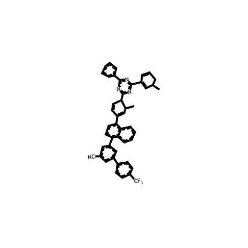 CC1C=C(c2nc(-c3ccccc3)nc(C3C=CC(c4ccc(-c5cc(C#N)cc(-c6ccc(C(F)(F)F)cc6)c5)c5ccccc45)=CC3C)n2)C=CC1